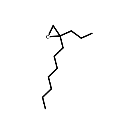 CCCCCCCC1(CCC)CO1